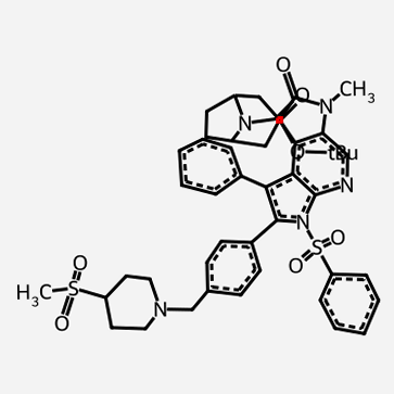 CN1C(=O)C2(CC3CCC(C2)N3C(=O)OC(C)(C)C)c2c1cnc1c2c(-c2ccccc2)c(-c2ccc(CN3CCC(S(C)(=O)=O)CC3)cc2)n1S(=O)(=O)c1ccccc1